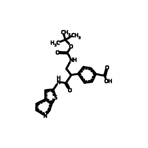 CC(C)(C)OC(=O)NCC(C(=O)Nc1cc2ccncc2s1)c1ccc(C(=O)O)cc1